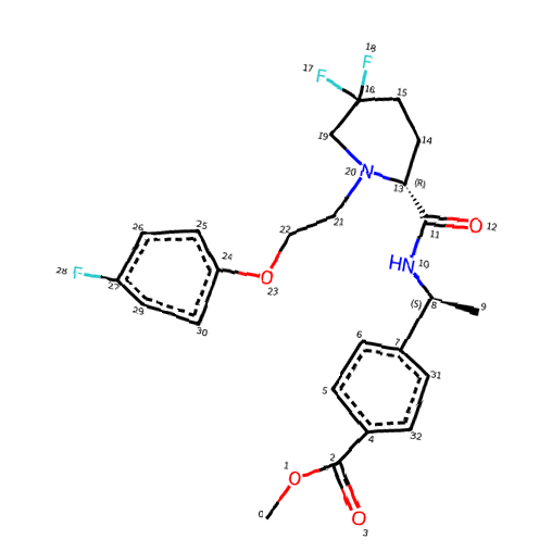 COC(=O)c1ccc([C@H](C)NC(=O)[C@H]2CCC(F)(F)CN2CCOc2ccc(F)cc2)cc1